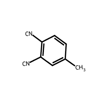 [C-]#[N+]c1ccc(C)cc1[N+]#[C-]